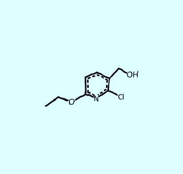 CCOc1ccc(CO)c(Cl)n1